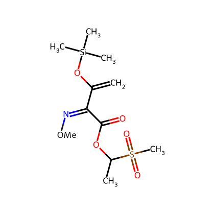 C=C(O[Si](C)(C)C)C(=NOC)C(=O)OC(C)S(C)(=O)=O